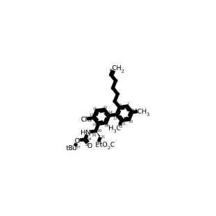 C=CCCCCc1cc(C)cc(C)c1-c1ccc(Cl)c([C@H](CC(=O)OCC)NC(=O)OC(C)(C)C)c1